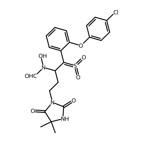 CC1(C)NC(=O)N(CCC(C(c2ccccc2Oc2ccc(Cl)cc2)=S(=O)=O)N(O)C=O)C1=O